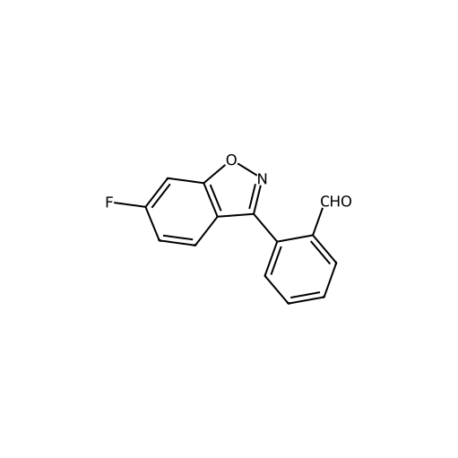 O=Cc1ccccc1-c1noc2cc(F)ccc12